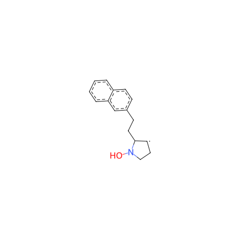 ON1CC[CH]C1CCc1ccc2ccccc2c1